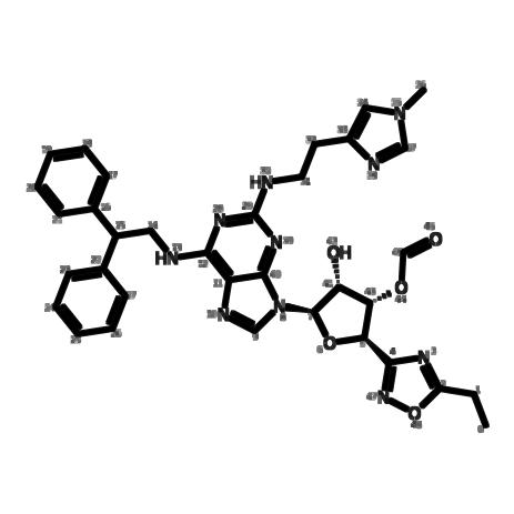 CCc1nc([C@H]2O[C@@H](n3cnc4c(NCC(c5ccccc5)c5ccccc5)nc(NCCc5cn(C)cn5)nc43)[C@H](O)[C@@H]2OC=O)no1